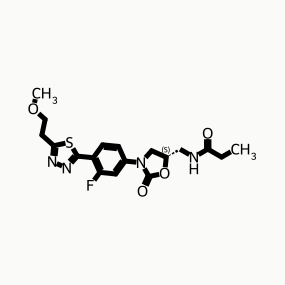 CCC(=O)NC[C@H]1CN(c2ccc(-c3nnc(CCOC)s3)c(F)c2)C(=O)O1